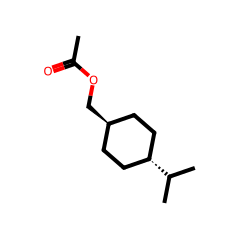 CC(=O)OC[C@H]1CC[C@H](C(C)C)CC1